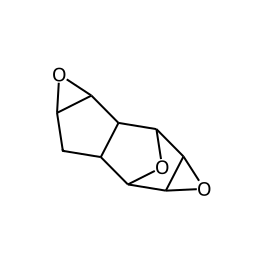 C1C2OC2C2C1C1OC2C2OC12